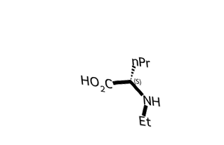 CCC[C@H](NCC)C(=O)O